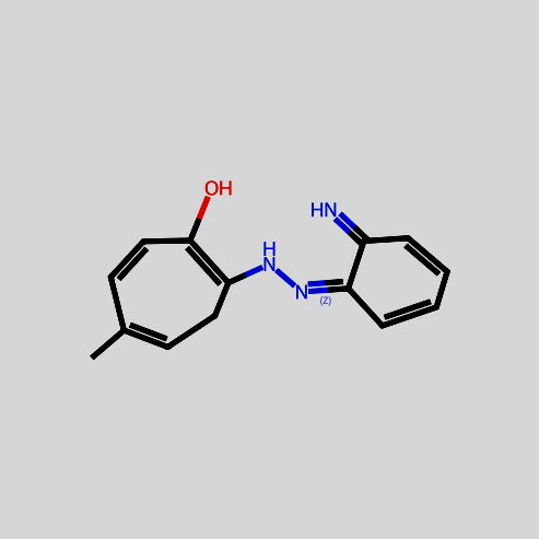 CC1=CCC(N/N=C2/C=CC=CC2=N)=C(O)C=C1